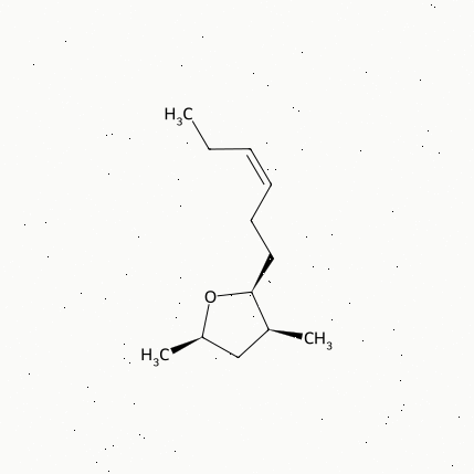 CC/C=C\CC[C@@H]1O[C@H](C)C[C@@H]1C